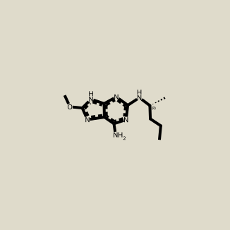 CCC[C@@H](C)Nc1nc(N)c2nc(OC)[nH]c2n1